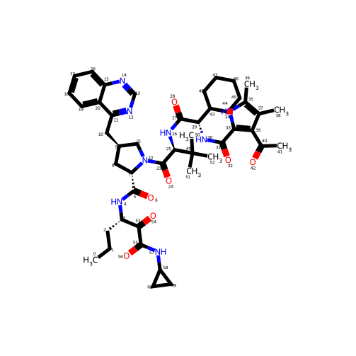 CCC[C@H](NC(=O)[C@@H]1C[C@@H](Cc2ncnc3ccccc23)CN1C(=O)[C@@H](NC(=O)[C@@H](NC(=O)c1[nH]c(C)c(C)c1C(C)=O)C1CCCCC1)C(C)(C)C)C(=O)C(=O)NC1CC1